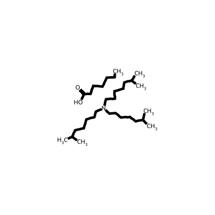 CC(C)CCCCCN(CCCCCC(C)C)CCCCCC(C)C.CCCCCCC(=O)O